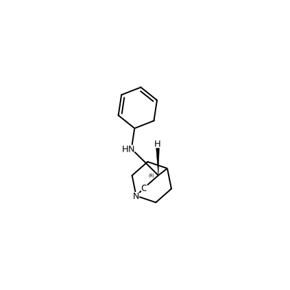 C1=CCC(N[C@H]2CN3CCC2CC3)C=C1